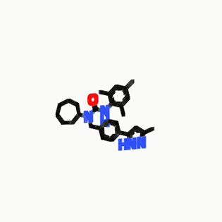 Cc1cc(C)c(NC(=O)N(Cc2ccc(-c3cc(C)n[nH]3)cc2)C2CCCCCC2)c(C)c1